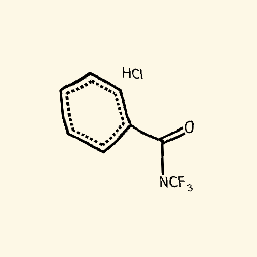 Cl.O=C(NC(F)(F)F)c1ccccc1